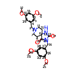 COc1cc(CN2CCC3(CC2)NC(=O)N(Cc2cc(OC)cc(OC)c2)C3=O)cc(OC)c1